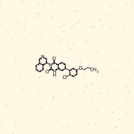 CCCOc1ccc(Cl)c(-c2ccc3c(=O)n(-c4cncc5ccccc45)c(=O)[nH]c3c2)c1